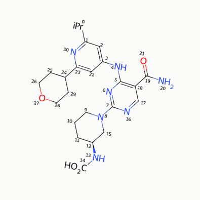 CC(C)c1cc(Nc2nc(N3CCC[C@H](NC(=O)O)C3)ncc2C(N)=O)cc(C2CCOCC2)n1